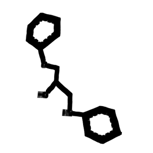 OC(CNc1cc[c]cc1)COc1ccccc1